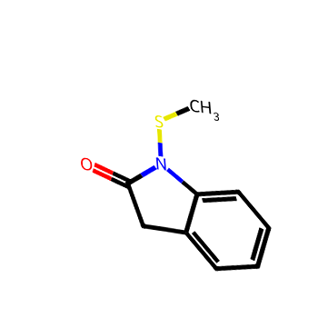 CSN1C(=O)Cc2ccccc21